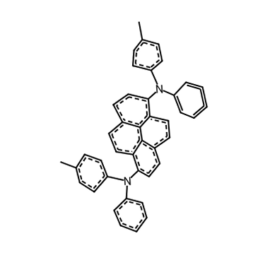 Cc1ccc(N(C2=CC=C=C=C2)c2ccc3ccc4c(N(c5ccccc5)c5ccc(C)cc5)ccc5ccc2c3c54)cc1